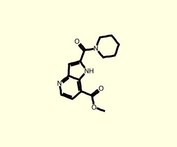 COC(=O)c1ccnc2cc(C(=O)N3CCCCC3)[nH]c12